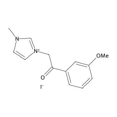 COc1cccc(C(=O)C[n+]2ccn(C)c2)c1.[I-]